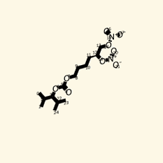 CC(C)C(OC(=O)OCCCC[C@@H](CO[N+](=O)[O-])O[N+](=O)[O-])C(C)C